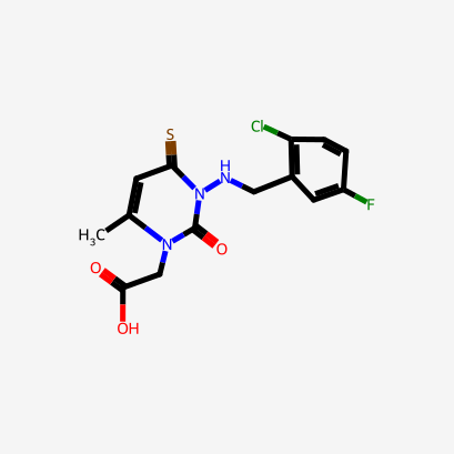 Cc1cc(=S)n(NCc2cc(F)ccc2Cl)c(=O)n1CC(=O)O